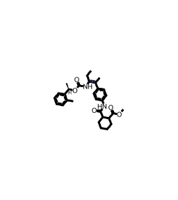 CC/C(NC(=O)O[C@H](C)c1ccccc1C)=C(\C)c1ccc(NC(=O)C2CCCCC2C(=O)OC)cc1